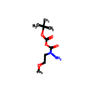 COCCN(N)C(=O)OC(=O)OC(C)(C)C